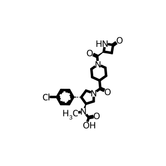 CN(C(=O)O)[C@@H]1CN(C(=O)C2CCN(C(=O)[C@@H]3CC(=O)N3)CC2)C[C@H]1c1ccc(Cl)cc1